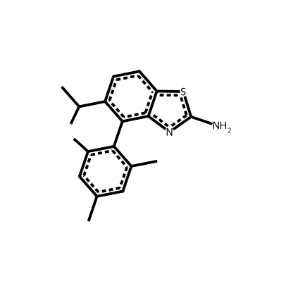 Cc1cc(C)c(-c2c(C(C)C)ccc3sc(N)nc23)c(C)c1